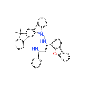 CC1(C)c2ccccc2-c2cc3c(cc21)c1ccccc1n3CN/C(=C\C(=N)c1ccccc1)c1cccc2c1oc1ccccc12